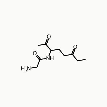 CCC(=O)CCC(NC(=O)CN)C(C)=O